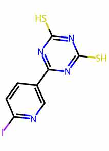 Sc1nc(S)nc(-c2ccc(I)nc2)n1